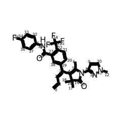 C=C/C=C(\C1=C(C)N(c2ccn(C)n2)C(=O)C1(C)C)c1ccc(C(F)(F)F)c(C(=O)Nc2ccc(F)cc2)c1